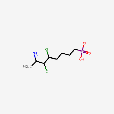 NC(C(=O)O)C(Cl)C(Cl)CCCCP(=O)(O)O